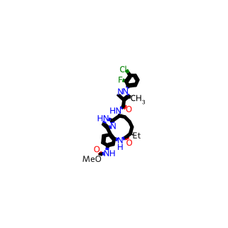 CC[C@H]1CCC[C@H](NC(=O)c2cnn(-c3cccc(Cl)c3F)c2C)c2nc(c[nH]2)-c2ccc(NC(=O)OC)cc2NC1=O